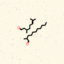 CC(C)=CCCC(C)CC=O.CCCCCCCCCC(C)C=O